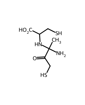 CC(N)(NC(CS)C(=O)O)C(=O)CS